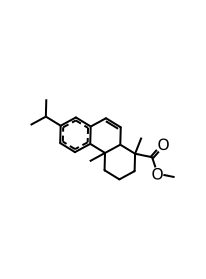 COC(=O)C1(C)CCCC2(C)c3ccc(C(C)C)cc3C=CC12